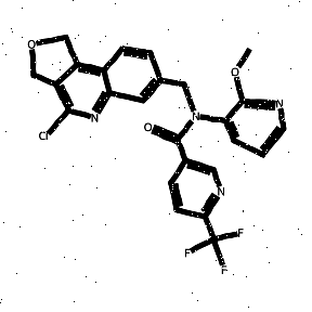 COc1ncccc1N(Cc1ccc2c3c(c(Cl)nc2c1)COC3)C(=O)c1ccc(C(F)(F)F)nc1